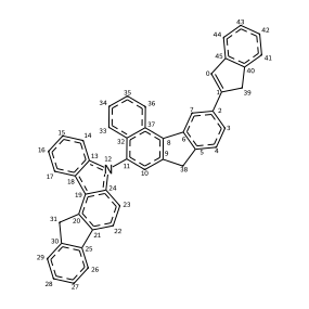 C1=C(c2ccc3c(c2)-c2c(cc(-n4c5ccccc5c5c6c(ccc54)-c4ccccc4C6)c4ccccc24)C3)Cc2ccccc21